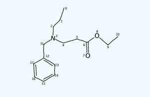 CCCN(CCC(=O)OCC)Cc1ccccc1